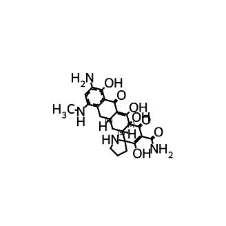 CNc1cc(N)c(O)c2c1C[C@H]1C[C@H]3C4(CCCN4)C(O)=C(C(N)=O)C(=O)[C@@]3(O)C(O)=C1C2=O